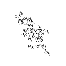 C=CCNC(=O)C(=O)C(CCC)NC(=O)[C@@H]1[C@@H]2C(CN1C(=O)[C@@H](NC(=O)N[C@H](CN1CCN(C(C)=O)[S+]1[O-])C(C)(C)C)C(C)(C)C)C2(C)C